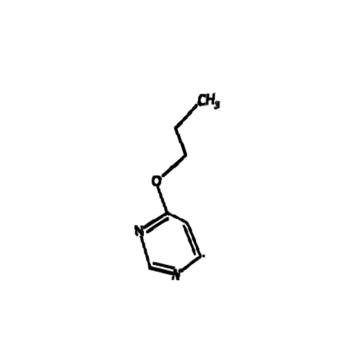 CCCOc1c[c]ncn1